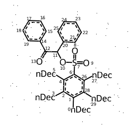 CCCCCCCCCCc1c(CCCCCCCCCC)c(CCCCCCCCCC)c(S(=O)(=O)OC(C(=O)c2ccccc2)c2ccccc2)c(CCCCCCCCCC)c1CCCCCCCCCC